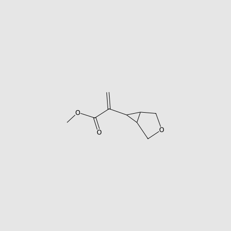 C=C(C(=O)OC)C1C2COCC21